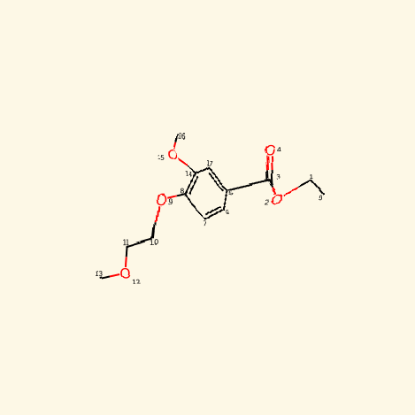 CCOC(=O)c1ccc(OCCOC)c(OC)c1